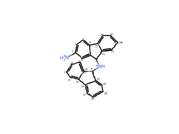 Nc1ccc2c(c1)C(NC1c3ccccc3-c3ccccc31)c1ccccc1-2